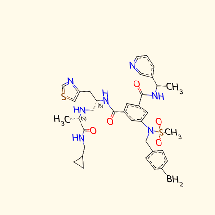 Bc1ccc(CN(c2cc(C(=O)NC(C)c3cccnc3)cc(C(=O)N[C@H](CN[C@@H](C)C(=O)NCC3CC3)Cc3cscn3)c2)S(C)(=O)=O)cc1